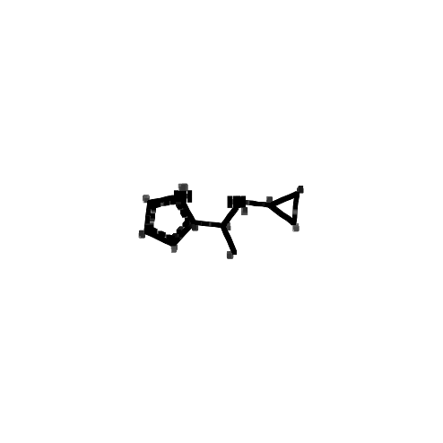 CC(NC1CC1)c1ccc[nH]1